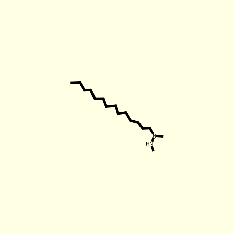 CCCCCCCCCCCCCCN(C)NC